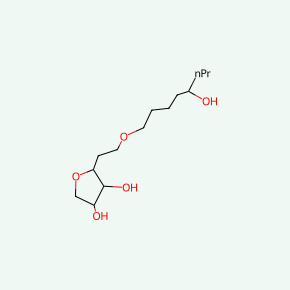 CCCC(O)CCCCOCCC1OCC(O)C1O